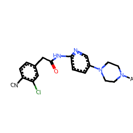 [C-]#[N+]c1ccc(CC(=O)Nc2ccc(N3CCN(C(C)=O)CC3)cn2)cc1Cl